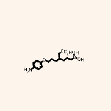 Nc1ccc(OCCCC(CCCB(O)O)CC(=O)O)cc1